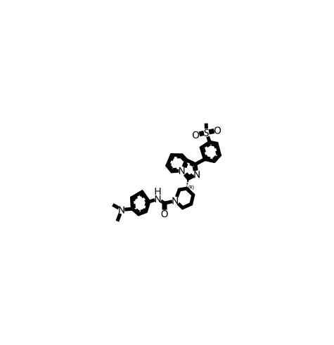 CN(C)c1ccc(NC(=O)N2CCC[C@@H](c3nc(-c4cccc(S(C)(=O)=O)c4)c4ccccn34)C2)cc1